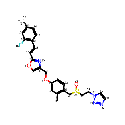 Cc1cc(OCc2coc(C=Cc3ccc(C(F)(F)F)cc3F)n2)ccc1C[S+]([O-])CCn1ccnn1